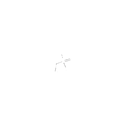 CCCC[SH](C)(=O)CC